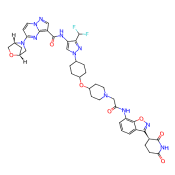 O=C1CC[C@@H](c2noc3c(NC(=O)CN4CCC(OC5CCC(n6cc(NC(=O)c7cnn8ccc(N9C[C@H]%10C[C@@H]9CO%10)nc78)c(C(F)F)n6)CC5)CC4)cccc23)C(=O)N1